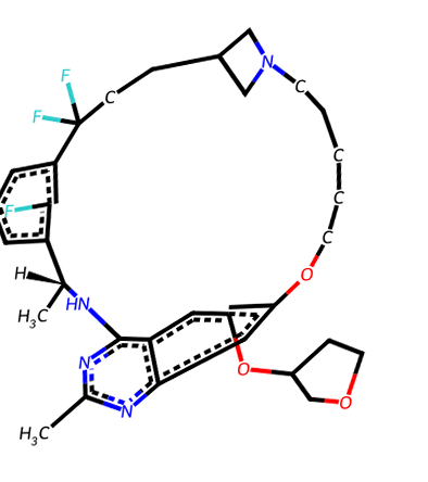 Cc1nc2c3cc(OC4CCOC4)c(cc3n1)OCCCCCN1CC(CCC(F)(F)c3cccc(c3F)[C@@H](C)N2)C1